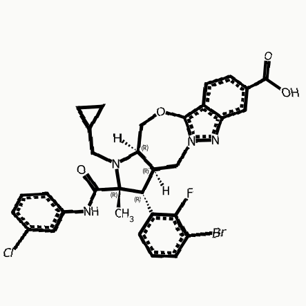 C[C@]1(C(=O)Nc2cccc(Cl)c2)[C@@H](c2cccc(Br)c2F)[C@@H]2Cn3nc4cc(C(=O)O)ccc4c3OC[C@@H]2N1CC1CC1